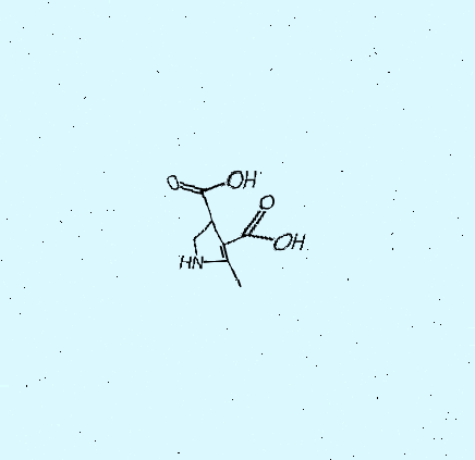 CC1=C(C(=O)O)C(C(=O)O)CN1